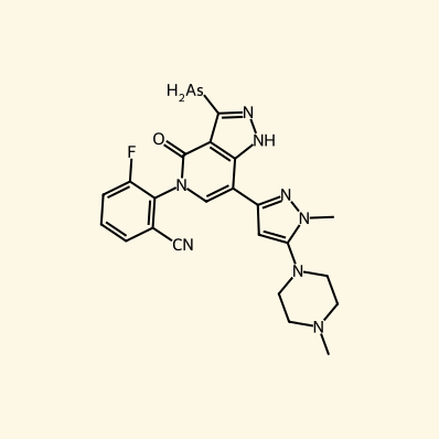 CN1CCN(c2cc(-c3cn(-c4c(F)cccc4C#N)c(=O)c4c([AsH2])n[nH]c34)nn2C)CC1